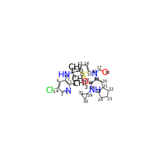 Cc1ncc(Cl)cc1NC(C)(C)c1ccc(N(C=O)[C@@H](CC2CCCC2)C(=O)NC2CC2)s1